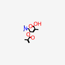 C=C(C)C(=O)OC(C=C(C)C(=O)O)CN(C)C